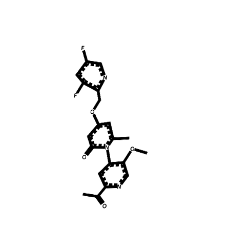 COc1cnc(C(C)=O)cc1-n1c(C)cc(OCc2ncc(F)cc2F)cc1=O